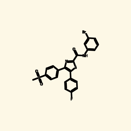 CS(=O)(=O)c1ccc(-c2nc(C(=O)Nc3cccc(Br)c3)sc2-c2ccc(F)cc2)cc1